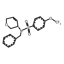 O=S(=O)(c1ccc(OC(F)(F)F)cc1)N(Cc1ccccc1)[C@@H]1C=CCOC1